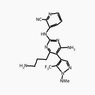 CNn1ncc(-c2c(N)nc(Nc3cccnc3C#N)nc2CCCN)c1C(F)(F)F